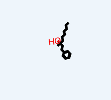 CCCCCCCC(C)(O)CCc1ccccc1